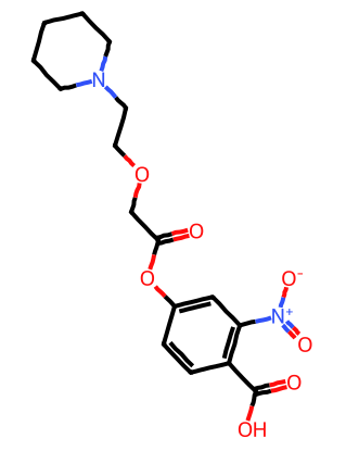 O=C(COCCN1CCCCC1)Oc1ccc(C(=O)O)c([N+](=O)[O-])c1